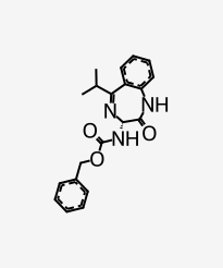 CC(C)C1=N[C@@H](NC(=O)OCc2ccccc2)C(=O)Nc2ccccc21